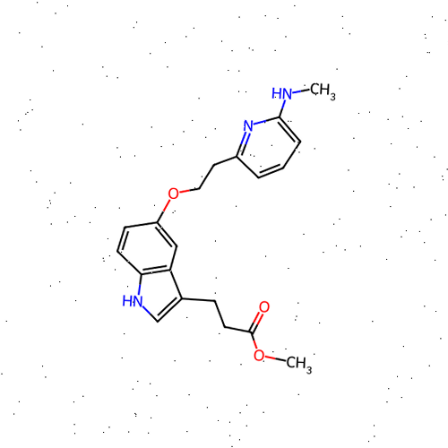 CNc1cccc(CCOc2ccc3[nH]cc(CCC(=O)OC)c3c2)n1